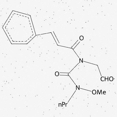 CCCN(OC)C(=O)N(C[C]=O)C(=O)C=Cc1ccccc1